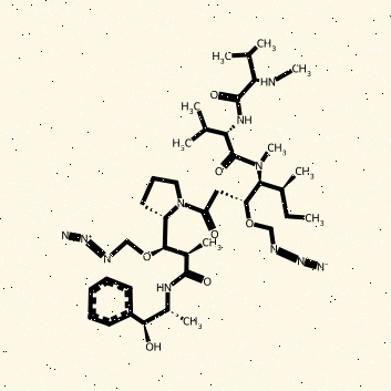 CC[C@H](C)[C@@H]([C@@H](CC(=O)N1CCC[C@H]1[C@H](OCN=[N+]=[N-])[C@@H](C)C(=O)N[C@H](C)[C@@H](O)c1ccccc1)OCN=[N+]=[N-])N(C)C(=O)[C@@H](NC(=O)[C@@H](NC)C(C)C)C(C)C